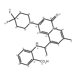 Cc1cc(C(C)Nc2ccccc2C(=O)O)c2nc(N3CCC(F)(F)CC3)cc(=O)n2c1